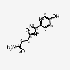 NC(=O)CCc1nc(-c2ccc(O)cn2)no1